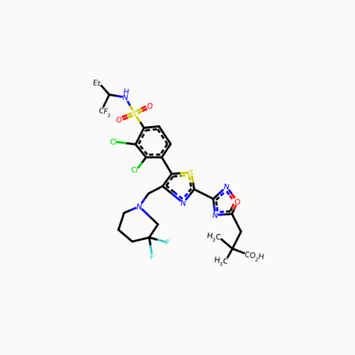 CCC(NS(=O)(=O)c1ccc(-c2sc(-c3noc(CC(C)(C)C(=O)O)n3)nc2CN2CCCC(F)(F)C2)c(Cl)c1Cl)C(F)(F)F